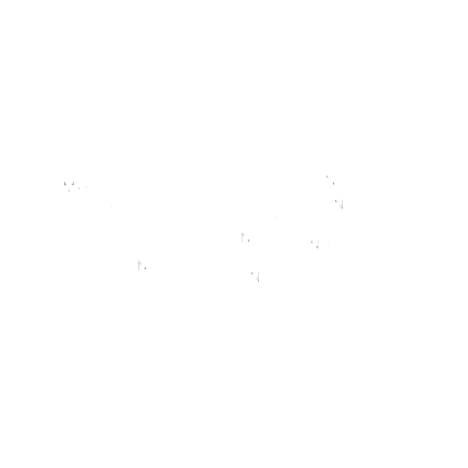 COC(=O)CC1CN(Cc2ccc(/C(N)=N/OC(=O)c3cnn(-c4ccccc4)c3N)cc2)C1